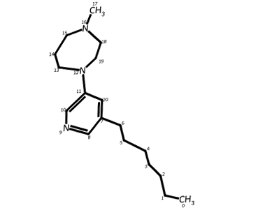 CCCCCCCc1cncc(N2CCCN(C)CC2)c1